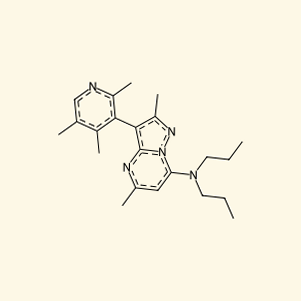 CCCN(CCC)c1cc(C)nc2c(-c3c(C)ncc(C)c3C)c(C)nn12